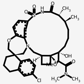 COC(C(=O)N(C)C)[C@]1(O)CCC[C@H](C)[C@@H](C)C(=O)NS(=O)(=O)c2ccc3c(c2)N(C[C@@H]2CC[C@H]21)C[C@@]1(CCCc2cc(Cl)ccc21)CO3